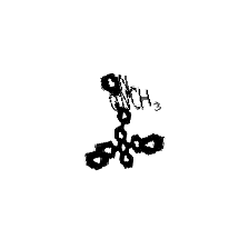 Cc1nc2cccc3c2n1-c1ccc(-c2ccc4c(-c5ccc6ccccc6c5)c5ccccc5c(-c5ccc6ccccc6c5)c4c2)cc1O3